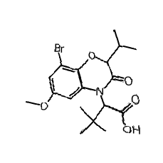 COc1cc(Br)c2c(c1)N(C(C(=O)O)C(C)(C)C)C(=O)C(C(C)C)O2